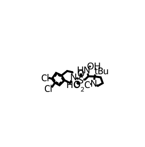 CC(C)(C)C1(C(CS(=O)(=O)N2CCc3cc(Cl)c(Cl)cc3C2)NO)CCCN1C(=O)O